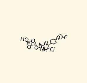 O[C@@H]1COC2C1OC[C@H]2Oc1nc2nc(-c3ccc(N4CC[C@H](F)C4)cc3)c(Cl)cc2[nH]1